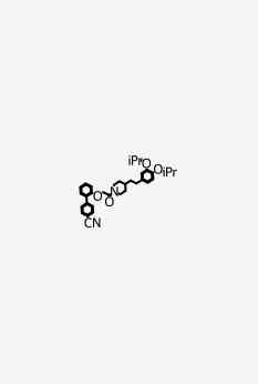 CC(C)Oc1ccc(CCC2CCN(C(=O)COc3ccccc3-c3ccc(C#N)cc3)CC2)cc1OC(C)C